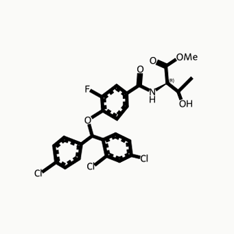 COC(=O)[C@H](NC(=O)c1ccc(OC(c2ccc(Cl)cc2)c2ccc(Cl)cc2Cl)c(F)c1)C(C)O